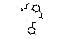 CC(Cc1ccc2c(c1)OC(C(=O)O)CO2)NCC(O)c1cccc(Cl)c1